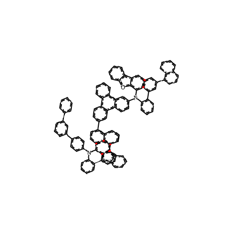 c1ccc(-c2cccc(-c3ccc(N(c4ccccc4-c4cccc(-c5cccc6c(-c7ccc8c9ccccc9c9cc(N(c%10ccccc%10-c%10cccc(-c%11cccc%12ccccc%11%12)c%10)c%10cccc%11c%10oc%10ccccc%10%11)ccc9c8c7)cccc56)c4)c4cccc5c4oc4ccccc45)cc3)c2)cc1